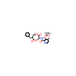 Cc1ccnc(C(=O)N[C@H]2COC(=O)C(Cc3ccccc3)C[C@H](C)OC2=O)c1OC(=O)OCC(C)C